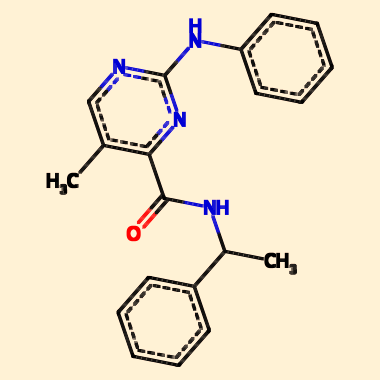 Cc1cnc(Nc2ccccc2)nc1C(=O)NC(C)c1ccccc1